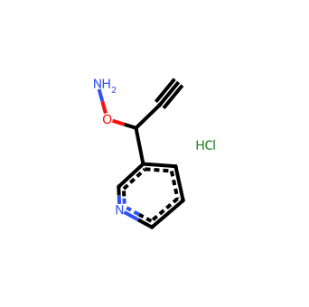 C#CC(ON)c1cccnc1.Cl